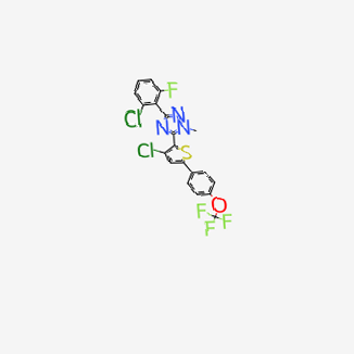 Cn1nc(-c2c(F)cccc2Cl)nc1-c1sc(-c2ccc(OC(F)(F)F)cc2)cc1Cl